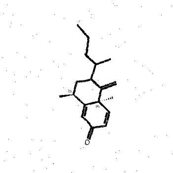 C=C1C(C(C)CCC)C[C@H](C)C2=CC(=O)C=C[C@]12C